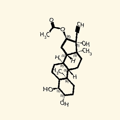 C#C[C@]1(O)[C@H](OC(C)=O)C[C@H]2[C@@H]3CCC4[C@H](O)[C@@H](O)CC[C@]4(C)[C@H]3CC[C@@]21C